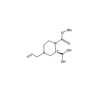 C=CCN1CCN(C(=O)OC(C)(C)C)[C@@H](C(O)O)C1